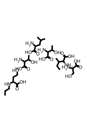 CC(C)CC(N)C(=O)O.CC(O)C(N)C(=O)O.CC(O)C(N)C(=O)O.CCC(C)C(N)C(=O)O.CCCNC(CCO)C(=O)O.NC(CO)C(=O)O